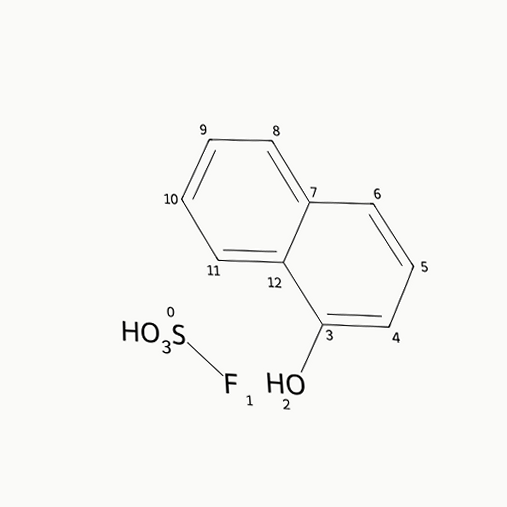 O=S(=O)(O)F.Oc1cccc2ccccc12